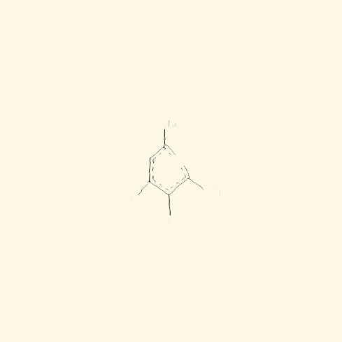 CC(C)(C)c1cc(C(C)(C)C)c(Cl)c(C(F)(F)F)c1